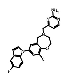 Nc1nccc(CN2CCOc3c(Cl)cc(-n4ccc5cc(F)ccc54)cc3C2)n1